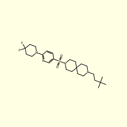 CC(C)(C)CCN1CCC2(CC1)CCN(S(=O)(=O)c1ccc(N3CCC(F)(F)CC3)nc1)CC2